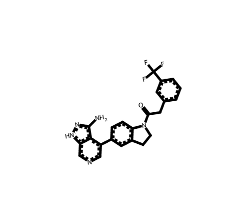 Nc1n[nH]c2cncc(-c3ccc4c(c3)CCN4C(=O)Cc3cccc(C(F)(F)F)c3)c12